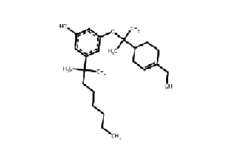 CCCCCCC(C)(C)c1cc(O)cc(OC(C)(C)C2CC=C(CO)CC2)c1